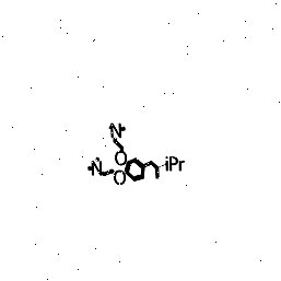 CC(C)[C@H](C)Cc1ccc(OCCN(C)C)c(OCCN(C)C)c1